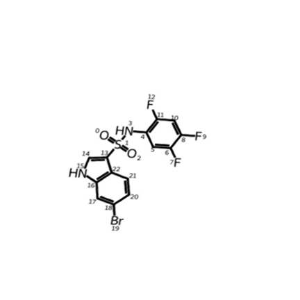 O=S(=O)(Nc1cc(F)c(F)cc1F)c1c[nH]c2cc(Br)ccc12